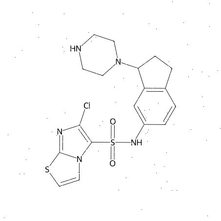 O=S(=O)(Nc1ccc2c(c1)C(N1CCNCC1)CC2)c1c(Cl)nc2sccn12